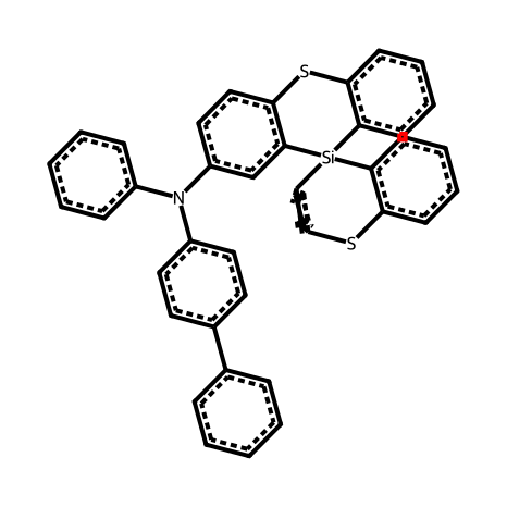 c1ccc(-c2ccc(N(c3ccccc3)c3ccc4c(c3)[Si]3(c5ccccc5Sc5ccccc53)c3ccccc3S4)cc2)cc1